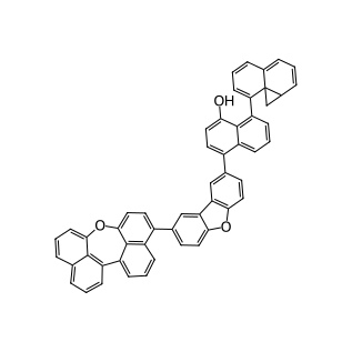 Oc1ccc(-c2ccc3oc4ccc(-c5ccc6oc7cccc8cccc(c9cccc5c69)c87)cc4c3c2)c2cccc(C3=CC=CC4=CC=CC5CC435)c12